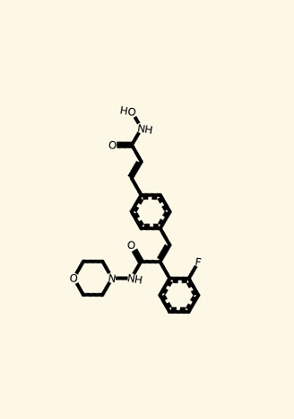 O=C(/C=C/c1ccc(/C=C(\C(=O)NN2CCOCC2)c2ccccc2F)cc1)NO